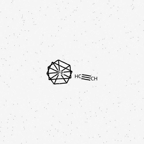 C#C.[CH]12[CH]3[CH]4[CH]5[CH]1[Fe]23451678[CH]2[CH]1[CH]6[CH]7[CH]28